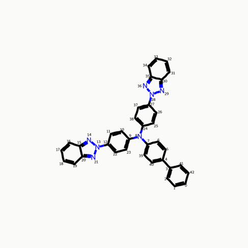 c1ccc(-c2ccc(N(c3ccc(-n4nc5ccccc5n4)cc3)c3ccc(-n4nc5ccccc5n4)cc3)cc2)cc1